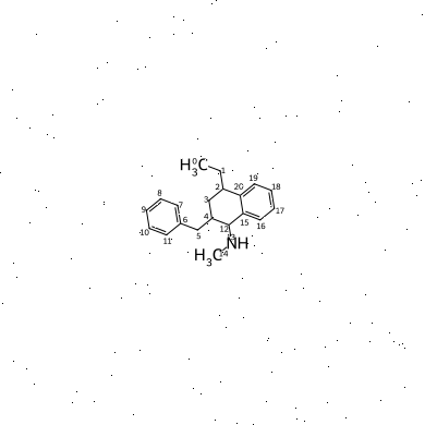 CCC1CC(Cc2ccccc2)C(NC)c2ccccc21